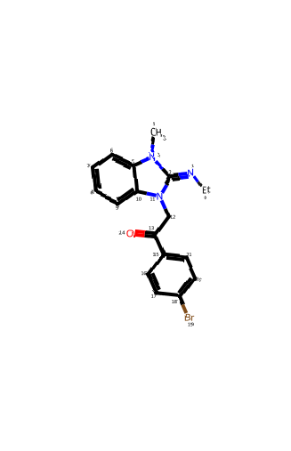 CC/N=c1/n(C)c2ccccc2n1CC(=O)c1ccc(Br)cc1